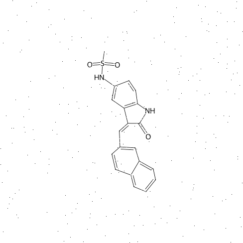 CS(=O)(=O)Nc1ccc2c(c1)C(=Cc1ccc3ccccc3c1)C(=O)N2